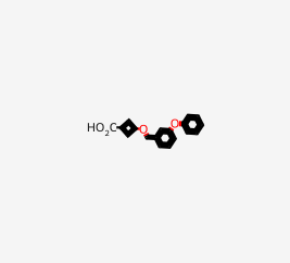 O=C(O)[C@H]1C[C@@H](OCc2cccc(Oc3ccccc3)c2)C1